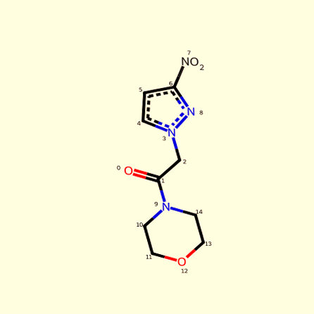 O=C(Cn1ccc([N+](=O)[O-])n1)N1CCOCC1